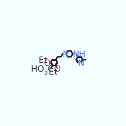 CCOc1cc(CCCN2CCC(Nc3ccnc(C)c3)CC2)cc(OCC)c1C(=O)O